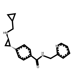 O=C(NCc1ccccn1)c1ccc([C@@H]2C[C@H]2NCC2CC2)cc1